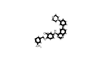 Cc1cccc(COc2ccc(Nc3ncnc4ccc(-c5cccc(N6CCOCC6)c5)cc34)cc2Cl)c1